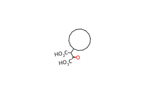 O=C(O)C(=O)C(C(=O)O)C1CCCCCCCCCCCCC1